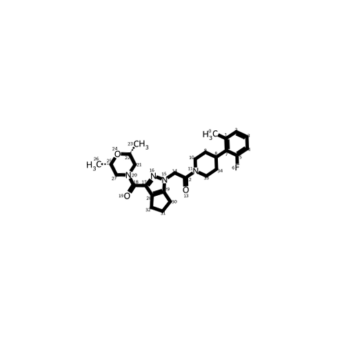 Cc1cccc(F)c1C1CCN(C(=O)Cn2nc(C(=O)N3C[C@@H](C)O[C@@H](C)C3)c3c2CCC3)CC1